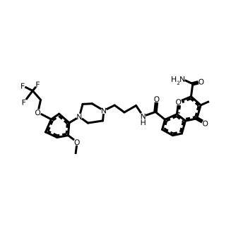 COc1ccc(OCC(F)(F)F)cc1N1CCN(CCCNC(=O)c2cccc3c(=O)c(C)c(C(N)=O)oc23)CC1